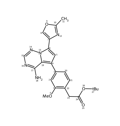 COc1cc(-c2cc(-c3coc(C)n3)n3ncnc(N)c23)ccc1CC(=O)OC(C)(C)C